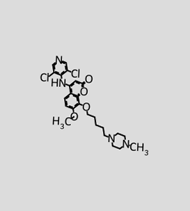 COc1ccc2c(Nc3c(Cl)cncc3Cl)cc(=O)oc2c1OCCCCCN1CCN(C)CC1